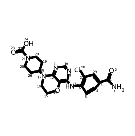 NC(=O)c1ccc(Nc2ncnc3c2OCCN3C2CCN(C(=O)O)CC2)c(Cl)c1